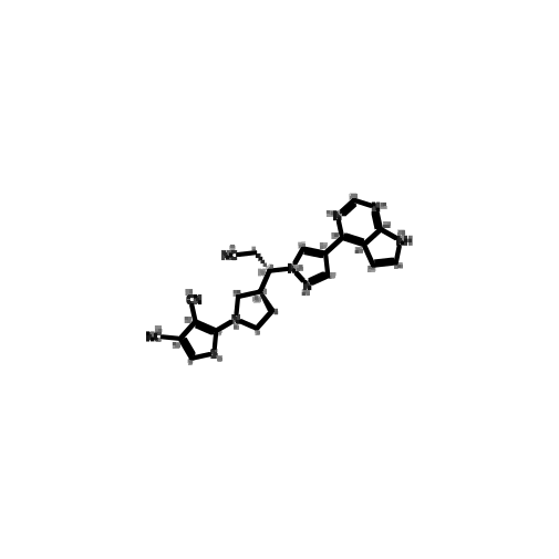 N#CC[C@@H]([C@H]1CCN(c2scc(C#N)c2C#N)C1)n1cc(-c2ncnc3[nH]ccc23)cn1